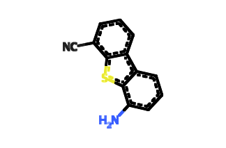 N#Cc1cccc2c1sc1c(N)cccc12